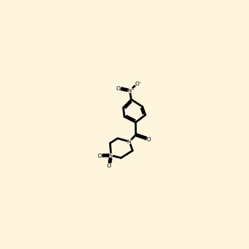 O=C(c1ccc([N+](=O)[O-])cc1)N1CCS(=O)(=O)CC1